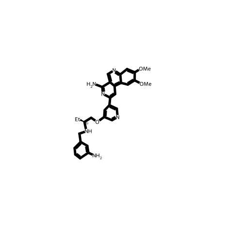 CC[C@@H](COc1cncc(-c2cc3c(cnc4cc(OC)c(OC)cc43)c(N)n2)c1)NCc1cccc(N)c1